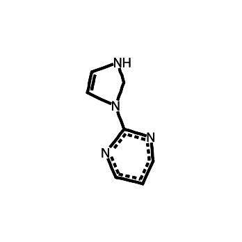 C1=CN(c2ncccn2)CN1